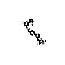 O=C1NC(=O)/C(=C/c2ccnc(N3CCC(CNCc4cc(-c5ccn[nH]5)nc(C(F)(F)F)c4)CC3)n2)S1